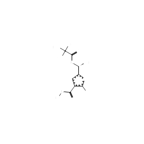 C[C@H](NC(=O)C(C)(C)C)c1cc(C(=O)NO)c(Cl)s1